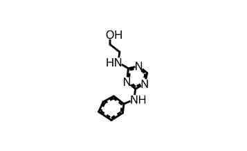 OCCNc1ncnc(Nc2ccccc2)n1